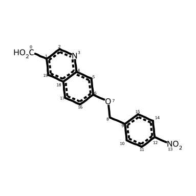 O=C(O)c1cnc2cc(OCc3ccc([N+](=O)[O-])cc3)ccc2c1